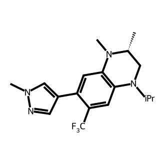 CC(C)N1C[C@@H](C)N(C)c2cc(-c3cnn(C)c3)c(C(F)(F)F)cc21